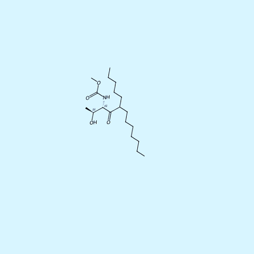 CCCCCCCC(CCCCC)C(=O)[C@@H](NC(=O)OC)[C@H](C)O